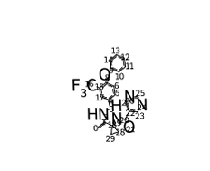 C=C(NCc1ccc(Oc2ccccc2)c(C(F)(F)F)c1)C1(NC(=O)c2cncnc2)CC1